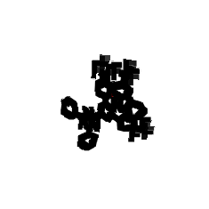 FC(F)(F)c1ccc(-c2cc(-c3nc(-c4ccccc4)nc(-c4ccccc4)n3)cc(-c3ccc(C(F)(F)F)cc3)c2-n2c3ccccc3c3cc(C(F)(F)F)ccc32)cc1